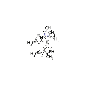 C=C/N=C(\C(C#CC1=CC(NSC)=C(C)PC1)=C(/C)CC)N1CCC(C)CC1